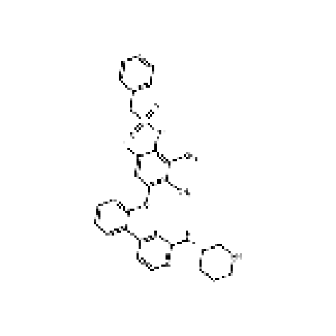 Cc1c(Oc2ncccc2-c2ccnc(N[C@H]3CCCNC3)n2)cc(F)c(NS(=O)(=O)Cc2ccccc2)c1C